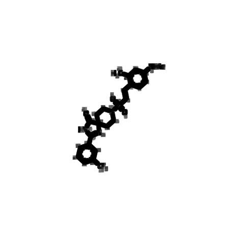 CC(=O)Nc1ccc(/C=C/S(=O)(=O)N2CCC3(CC2)N=C(c2cccc(C(F)(F)F)c2)NC3=O)c(C)c1